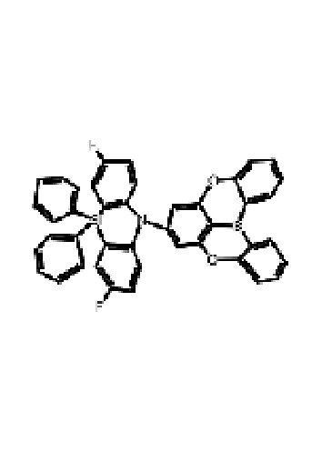 Fc1ccc2c(c1)[Si](c1ccccc1)(c1ccccc1)c1cc(F)ccc1N2c1cc2c3c(c1)Oc1ccccc1B3c1ccccc1O2